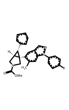 COC(=O)N1C[C@H]2[C@H](c3ccccc3)[C@@]2(c2cc3cnn(-c4ccc(F)cc4)c3cc2C)C1